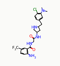 CN(C)c1cc(CC2CC(NC(=O)CNC(=O)c3cc(C(F)(F)F)ccc3N)CN2)ccc1Cl